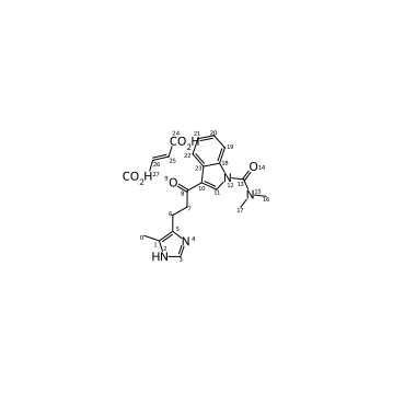 Cc1[nH]cnc1CCC(=O)c1cn(C(=O)N(C)C)c2ccccc12.O=C(O)C=CC(=O)O